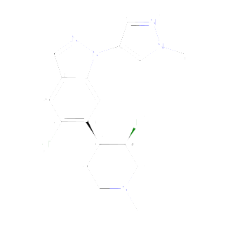 CN1CC[C@@H](c2cc3c(cnn3-c3cnn(C)c3)cc2Cl)[C@@H](F)C1